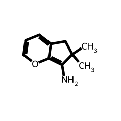 CC1(C)CC2=CC=COC2=C1N